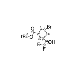 CC(C)(C)OC(=O)c1cc(Br)cc(C(O)C(F)F)c1